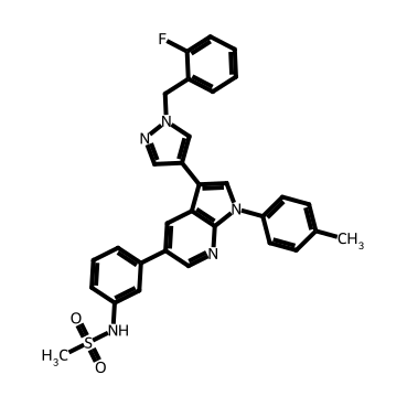 Cc1ccc(-n2cc(-c3cnn(Cc4ccccc4F)c3)c3cc(-c4cccc(NS(C)(=O)=O)c4)cnc32)cc1